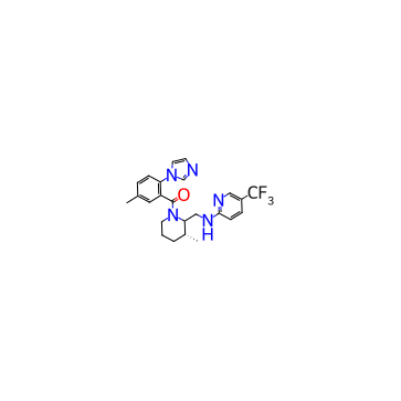 Cc1ccc(-n2ccnc2)c(C(=O)N2CCC[C@@H](C)C2CNc2ccc(C(F)(F)F)cn2)c1